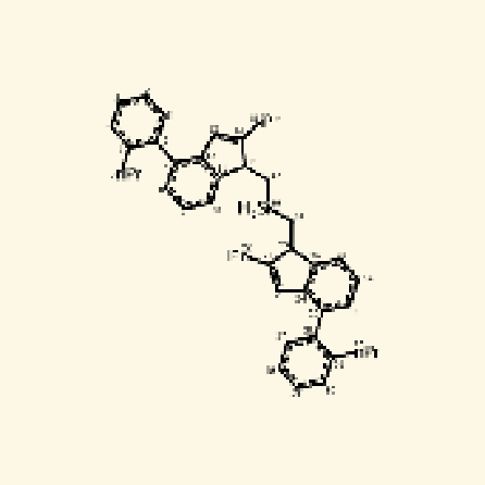 CCCc1ccccc1-c1cccc2c1C=C(C(C)C)C2C[SiH2]CC1C(C(C)C)=Cc2c(-c3ccccc3CCC)cccc21